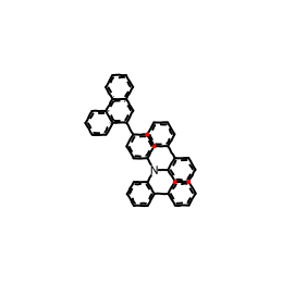 c1ccc(-c2ccccc2N(c2ccc(-c3cc4ccccc4c4ccccc34)cc2)c2ccccc2-c2ccccc2)cc1